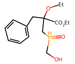 CCOC(=O)C(Cc1ccccc1)(C[PH](=O)CO)OCC